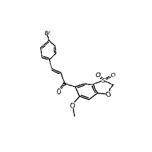 COc1cc2c(cc1C(=O)C=Cc1ccc(Br)cc1)S(=O)(=O)CO2